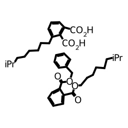 CC(C)CCCCCCOC(=O)c1ccccc1C(=O)OCc1ccccc1.CC(C)CCCCCCc1cccc(C(=O)O)c1C(=O)O